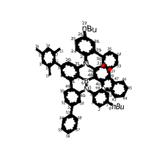 CCCCc1ccc(N2B3c4c(cc(-c5c(C)cc(C)cc5C)cc4N(c4ccc(CCCC)cc4-c4ccccc4)c4ccc5c(oc6ccccc65)c43)-c3ccc(-c4ccccc4)cc32)cc1